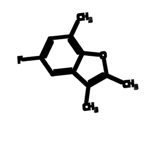 Cc1oc2c(C)cc(F)cc2c1C